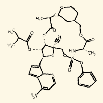 CC(C)C(=O)O[C@H]1[C@H](c2ccc3c(N)ccnn23)O[C@](C#N)(CO[P@@](=O)(N[C@@H](C)C(=O)OCC2CCOCC2)Oc2ccccc2)[C@H]1OC(=O)C(C)C